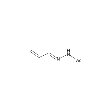 C=C/C=N/NC(C)=O